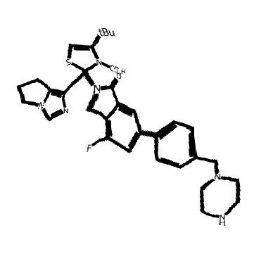 CC(C)(C)C1=CSC(c2ncn3c2CCC3)(N2Cc3c(F)cc(-c4ccc(CN5CCNCC5)cc4)cc3C2=O)N1C(=O)O